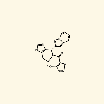 O=C(c1ocnc1C(F)(F)F)N1CCc2[nH]cnc2[C@@H]1c1cc2ccccn2n1